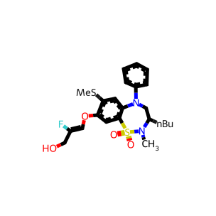 CCCCC1CN(c2ccccc2)c2cc(SC)c(OC=C(F)CO)cc2S(=O)(=O)N1C